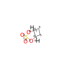 O=S1(=O)O[C@H]2CC[C@H]2O1